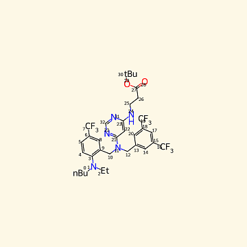 CCCCN(CC)c1ccc(C(F)(F)F)cc1CN(Cc1cc(C(F)(F)F)cc(C(F)(F)F)c1)c1cc(NCCC(=O)OC(C)(C)C)ncn1